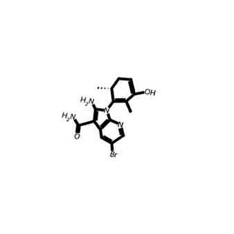 CC1=C(n2c(N)c(C(N)=O)c3cc(Br)cnc32)[C@H](C)CC=C1O